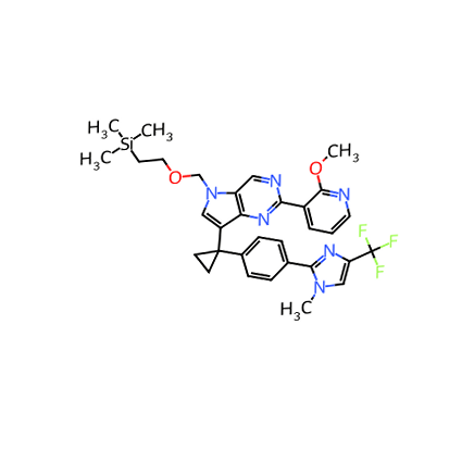 COc1ncccc1-c1ncc2c(n1)c(C1(c3ccc(-c4nc(C(F)(F)F)cn4C)cc3)CC1)cn2COCC[Si](C)(C)C